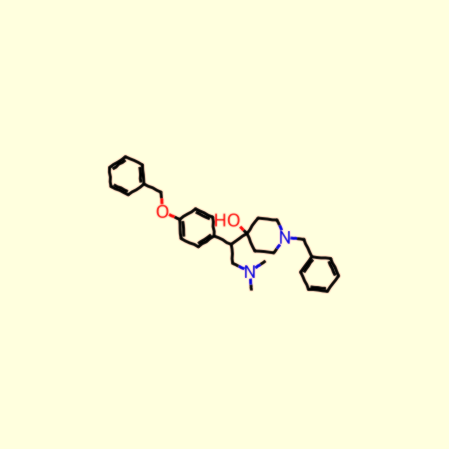 CN(C)CC(c1ccc(OCc2ccccc2)cc1)C1(O)CCN(Cc2ccccc2)CC1